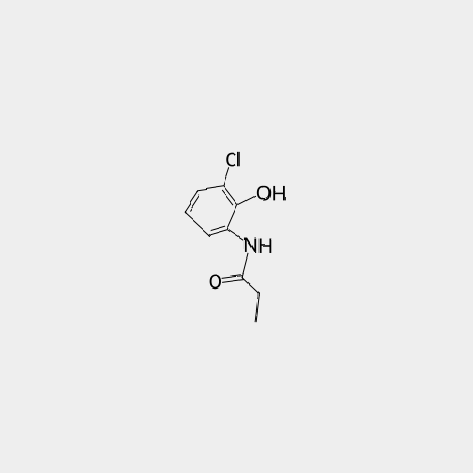 CCC(=O)Nc1cccc(Cl)c1O